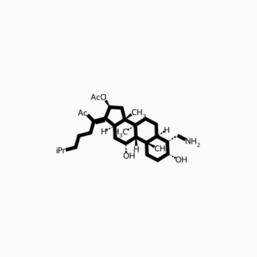 CC(=O)O[C@H]1C[C@@]2(C)[C@@H](C[C@@H](O)[C@H]3[C@@]4(C)CC[C@@H](O)[C@@H](CN)[C@@H]4CC[C@@]32C)/C1=C(\CCCC(C)C)C(C)=O